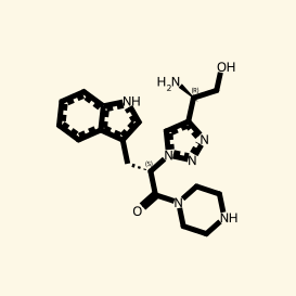 N[C@@H](CO)c1cn([C@@H](Cc2c[nH]c3ccccc23)C(=O)N2CCNCC2)nn1